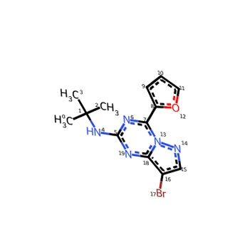 CC(C)(C)Nc1nc(-c2ccco2)n2ncc(Br)c2n1